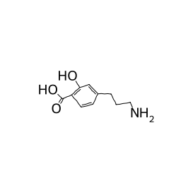 NCCCc1ccc(C(=O)O)c(O)c1